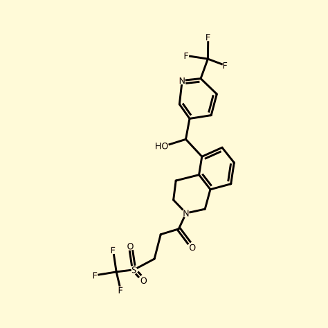 O=C(CCS(=O)(=O)C(F)(F)F)N1CCc2c(cccc2C(O)c2ccc(C(F)(F)F)nc2)C1